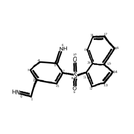 N=CC1=CCC(=N)C(S(=O)(=O)c2cccc3ccccc23)=C1